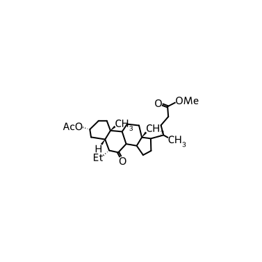 CC[C@H]1C(=O)C2C3CCC(C(C)CCC(=O)OC)[C@@]3(C)CCC2[C@@]2(C)CC[C@@H](OC(C)=O)C[C@@H]12